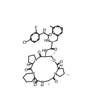 Cc1cccc(C[C@H](NC(=O)Nc2ccc(Cl)cc2F)C(=O)N[C@@H]2C(=O)N3CCC[C@H]3C(=O)N3CCCC[C@H]3C(=O)N[C@@H](C)C(=O)N3C[C@@H](C)C[C@H]3C(=O)O[C@H]2C)c1